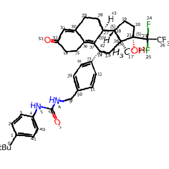 CC(C)(C)c1ccc(NC(=O)NCc2ccc([C@H]3C[C@@]4(C)[C@@H](CC[C@@]4(O)C(F)(F)C(F)(F)F)[C@@H]4CCC5=CC(=O)CCC5=C43)cc2)cc1